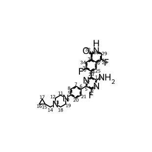 Nc1nc(F)c(-c2ccc(N3CCN(CC4CC4)CC3)cc2)nc1-c1cc2c(F)c[nH]c(=O)c2cc1F